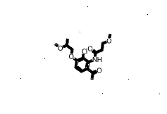 COCCC(=O)Nc1c(C(C)=O)ccc(OCC(C)OC)c1Cl